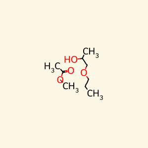 CCCOCC(C)O.COC(C)=O